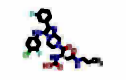 CCCNC(=O)C[C@H](NC(=O)O)C(=O)N1CCn2c(nc(-c3cccc(F)c3)c2Nc2ccc(Cl)c(F)c2)C1